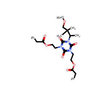 COOCC(C)(C)C(C)n1c(=O)n(CCOC(=O)CC(C)C)c(=O)n(CCOC(=O)CC(C)C)c1=O